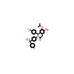 COc1cc2c(cc1OC(C)C)C(c1ccc(Cl)cc1)N(c1ccc([C@](C)(O)c3ccc(F)cc3)cc1)C(=O)C2